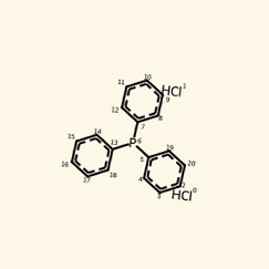 Cl.Cl.c1ccc(P(c2ccccc2)c2ccccc2)cc1